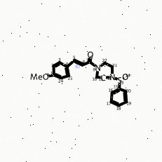 COc1ccc(/C=C/C(=O)N2CCN([S+]([O-])c3ccccc3)CC2)cc1